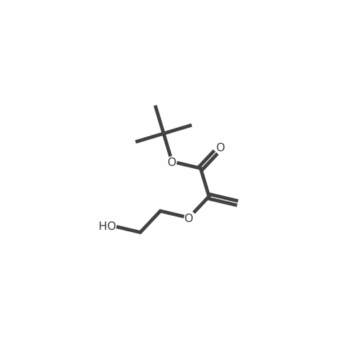 C=C(OCCO)C(=O)OC(C)(C)C